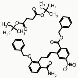 CC(C)(C)OC(=O)CCC(=O)OC(C)(C)C.NC(=O)c1cccc(OCc2ccccc2)c1C/C=C/c1cc([N+](=O)[O-])ccc1C(=O)OCc1ccccc1